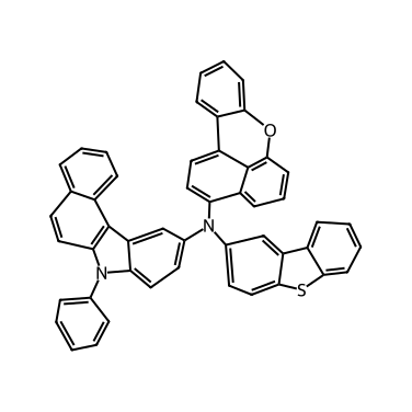 c1ccc(-n2c3ccc(N(c4ccc5sc6ccccc6c5c4)c4ccc5c6c(cccc46)Oc4ccccc4-5)cc3c3c4ccccc4ccc32)cc1